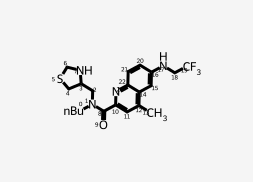 CCCCN(CC1CSCN1)C(=O)c1cc(C)c2cc(NCC(F)(F)F)ccc2n1